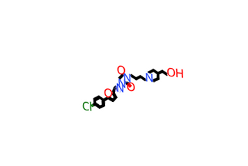 O=C1CN(/N=C/c2ccc(-c3ccc(Cl)cc3)o2)C(=O)N1CCCCN1CCC(CCO)CC1